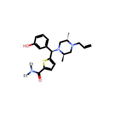 C=CCN1C[C@@H](C)N([C@H](c2cccc(O)c2)c2ccc(C(=O)N(CC)CC)s2)C[C@@H]1C